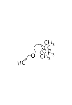 C#CCOC1CCC2CC1(C)OC2(C)C